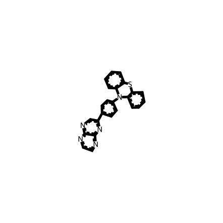 c1ccc2c(c1)Sc1ccccc1N2c1ccc(-c2cnc3nccnc3n2)cc1